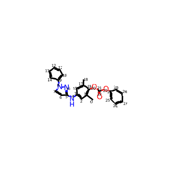 Cc1cc(Nc2ccn(-c3ccccc3)n2)cc(C)c1OC(=O)Oc1ccccc1